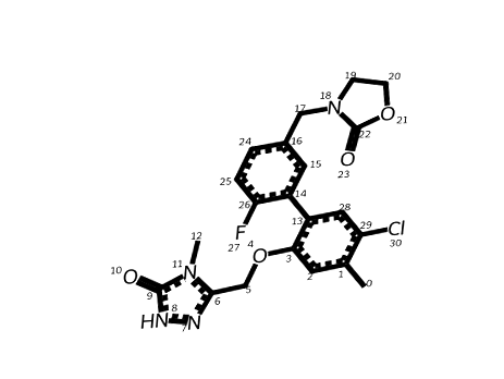 Cc1cc(OCc2n[nH]c(=O)n2C)c(-c2cc(CN3CCOC3=O)ccc2F)cc1Cl